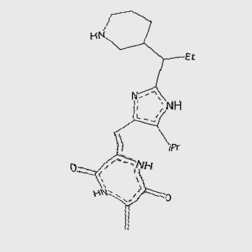 C=c1[nH]c(=O)c(=Cc2nc(C(CC)C3CCCNC3)[nH]c2C(C)C)[nH]c1=O